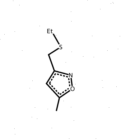 CCSCc1cc(C)on1